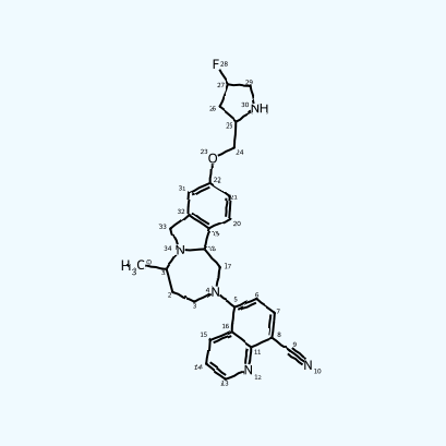 CC1CCN(c2ccc(C#N)c3ncccc23)CC2c3ccc(OCC4CC(F)CN4)cc3CN12